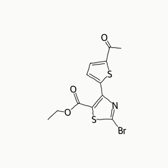 CCOC(=O)c1sc(Br)nc1-c1ccc(C(C)=O)s1